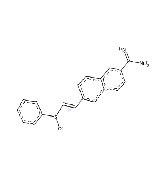 N=C(N)c1ccc2cc(/C=C/[S+]([O-])c3ccccc3)ccc2c1